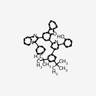 CC(C)(C)c1cc(-c2cc(-c3ccccc3O)nc(-c3cc(-c4nc5ccccn5c4-c4ccccc4)cc4c3oc3ccccc34)c2)cc(C(C)(C)C)c1